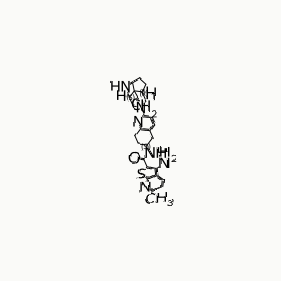 C=CC12C3CC[C@H]1CN(c1ccc4c(n1)CC[C@H](NC(=O)c1sc5nc(C)ccc5c1N)C4)C[C@H]2N3